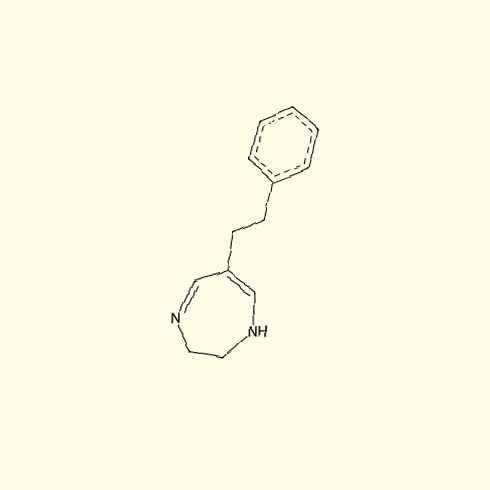 C1=NCCNC=C1CCc1ccccc1